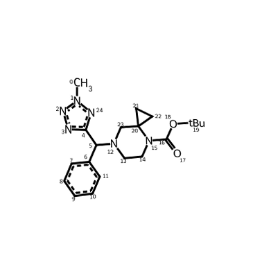 Cn1nnc(C(c2ccccc2)N2CCN(C(=O)OC(C)(C)C)C3(CC3)C2)n1